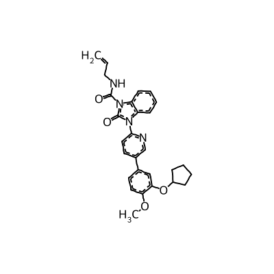 C=CCNC(=O)n1c(=O)n(-c2ccc(-c3ccc(OC)c(OC4CCCC4)c3)cn2)c2ccccc21